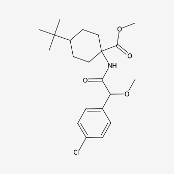 COC(=O)C1(NC(=O)C(OC)c2ccc(Cl)cc2)CCC(C(C)(C)C)CC1